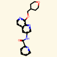 O=C(Nc1cnc2c(OCC3CCOCC3)nccc2c1)c1ccccn1